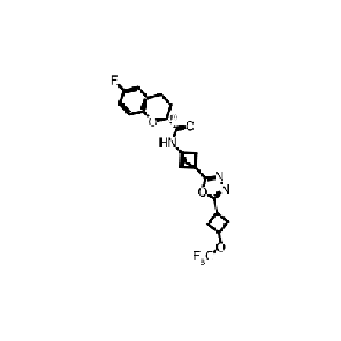 O=C(NC12CC(c3nnc(C4CC(OC(F)(F)F)C4)o3)(C1)C2)[C@H]1CCc2cc(F)ccc2O1